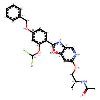 CC(=O)N[C@@H](C)COc1cc2oc(-c3ccc(OCc4ccccc4)cc3OC(F)F)nc2cn1